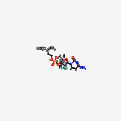 CCOC(=O)[C@H](C)CCO[P@]1(=O)OC[C@H]2O[C@@H](n3ccc(N)nc3=O)C(F)(F)[C@@H]2O1